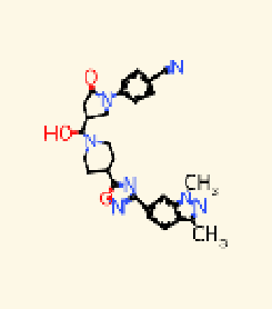 Cc1nn(C)c2cc(-c3noc(C4CCN(C(O)C5CC(=O)N(c6ccc(C#N)cc6)C5)CC4)n3)ccc12